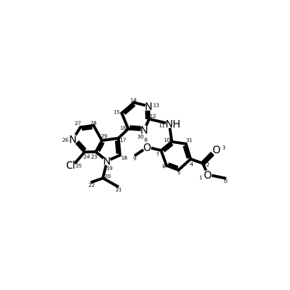 COC(=O)c1ccc(OC)c(Nc2nccc(-c3cn(C(C)C)c4c(Cl)nccc34)n2)c1